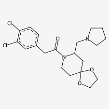 O=C(Cc1ccc(Cl)c(Cl)c1)N1CCC2(CC1CN1CCCC1)OCCO2